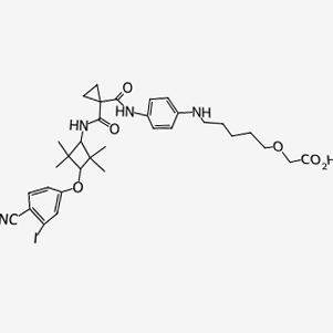 CC1(C)C(NC(=O)C2(C(=O)Nc3ccc(NCCCCCOCC(=O)O)cc3)CC2)C(C)(C)C1Oc1ccc(C#N)c(I)c1